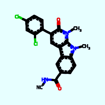 Cn1c(=O)c(-c2ccc(Cl)cc2Cl)cc2c3cc(C(=O)NC#N)ccc3n(C)c21